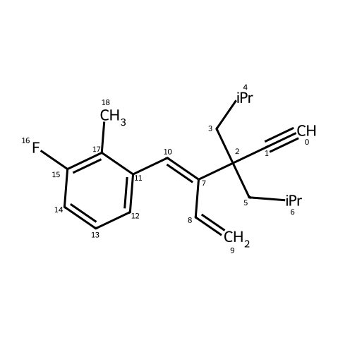 C#CC(CC(C)C)(CC(C)C)/C(C=C)=C/c1cccc(F)c1C